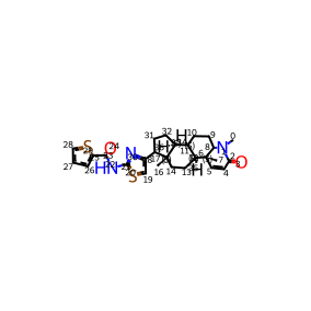 CN1C(=O)C=C[C@@]2(C)C1CC[C@@H]1[C@H]2CC[C@]2(C)C(c3csc(NC(=O)c4cccs4)n3)CC[C@@H]12